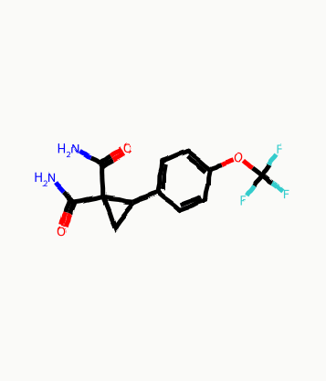 NC(=O)C1(C(N)=O)CC1c1ccc(OC(F)(F)F)cc1